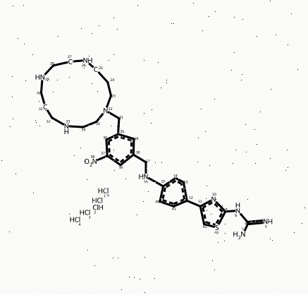 Cl.Cl.Cl.Cl.Cl.N=C(N)Nc1nc(-c2ccc(NCc3cc(CN4CCCNCCNCCCNCC4)cc([N+](=O)[O-])c3)cc2)cs1